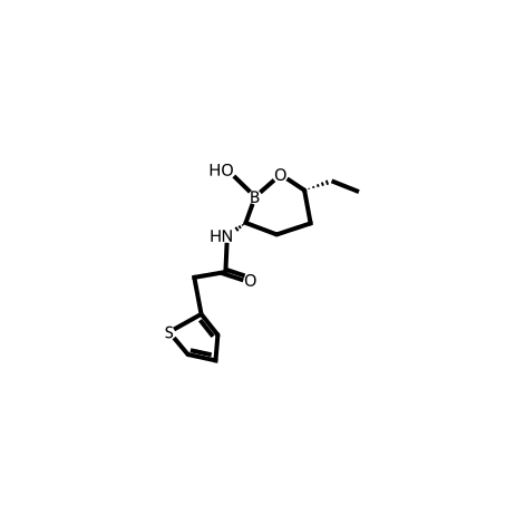 CC[C@@H]1CC[C@H](NC(=O)Cc2cccs2)B(O)O1